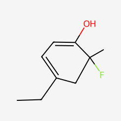 CCC1=CC=C(O)C(C)(F)C1